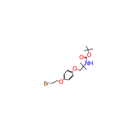 CC(C)(COc1ccc(OCCBr)cc1)NC(=O)OC(C)(C)C